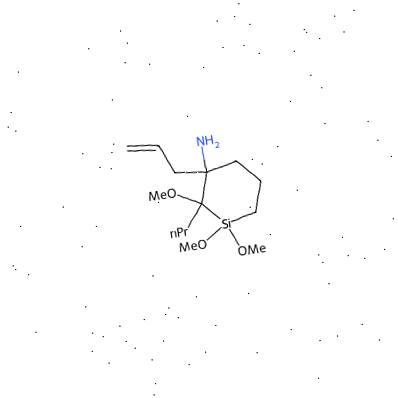 C=CCC1(N)CCC[Si](OC)(OC)C1(CCC)OC